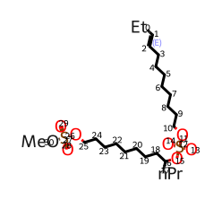 CC/C=C/CCCCCCCCOS(=O)(=O)OC(CCC)CCCCCCCCOS(=O)(=O)OC